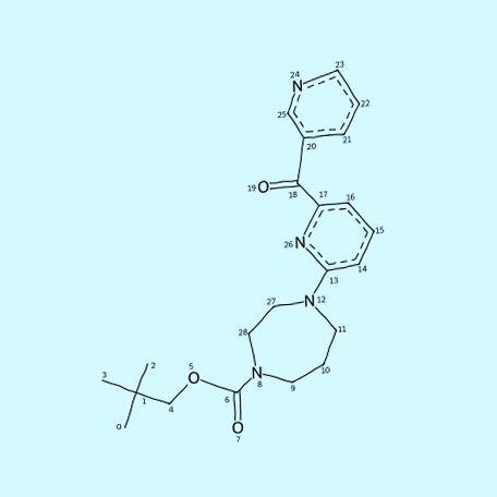 CC(C)(C)COC(=O)N1CCCN(c2cccc(C(=O)c3cccnc3)n2)CC1